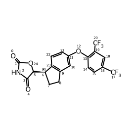 O=C1NC(=O)C([C@@H]2CCc3cc(Oc4ccc(C(F)(F)F)cc4C(F)(F)F)ccc32)O1